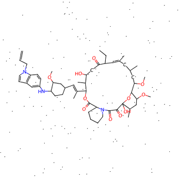 C=CCn1ccc2cc(NC3CCC(C=C(C)C4OC(=O)C5CCCCN5C(=O)C(=O)C5(O)OC(C(OC)CC(C)C/C(C)=C/C(CC)C(=O)CC(O)C4C)C(OC)CC5C)CC3OC)ccc21